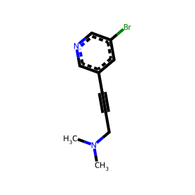 CN(C)CC#Cc1cncc(Br)c1